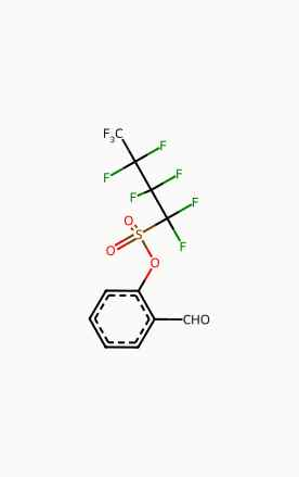 O=Cc1ccccc1OS(=O)(=O)C(F)(F)C(F)(F)C(F)(F)C(F)(F)F